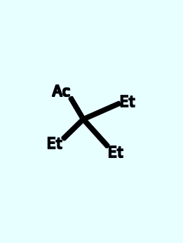 [CH2]C(=O)C(CC)(CC)CC